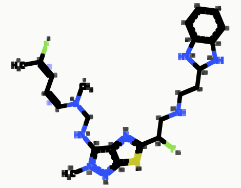 C/C(F)=C\C=C/N(C)CNc1c2nc(C(F)CNCCC3Nc4ccccc4N3)sc2nn1C